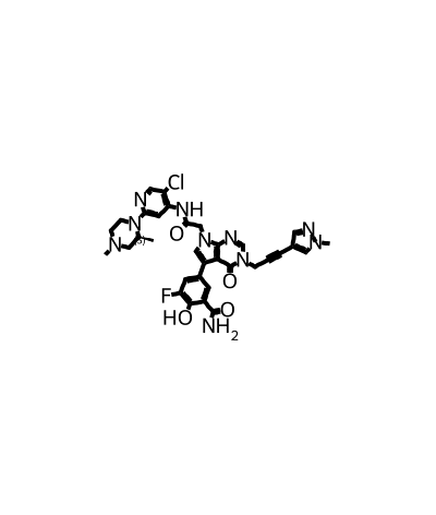 C[C@H]1CN(C)CCN1c1cc(NC(=O)Cn2cc(-c3cc(F)c(O)c(C(N)=O)c3)c3c(=O)n(CC#Cc4cnn(C)c4)cnc32)c(Cl)cn1